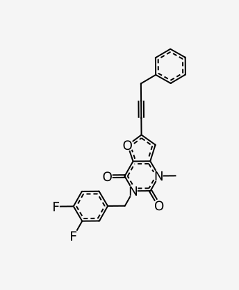 Cn1c(=O)n(Cc2ccc(F)c(F)c2)c(=O)c2oc(C#CCc3ccccc3)cc21